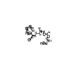 CCCCN(C)COC(C)OCN(C)CCCC(=C=O)[SiH](C=C=O)C=C=O